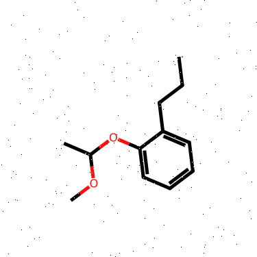 [CH2]CCc1ccccc1OC(C)OC